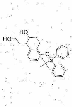 CC(C)(C)[Si](Oc1cccc2c1CCC(O)C2CCO)(c1ccccc1)c1ccccc1